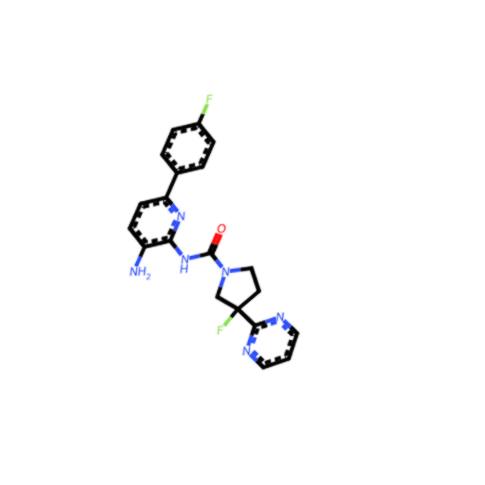 Nc1ccc(-c2ccc(F)cc2)nc1NC(=O)N1CCC(F)(c2ncccn2)C1